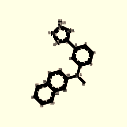 CN(c1cccc(-c2nn[nH]n2)c1)c1ccc2ccccc2c1